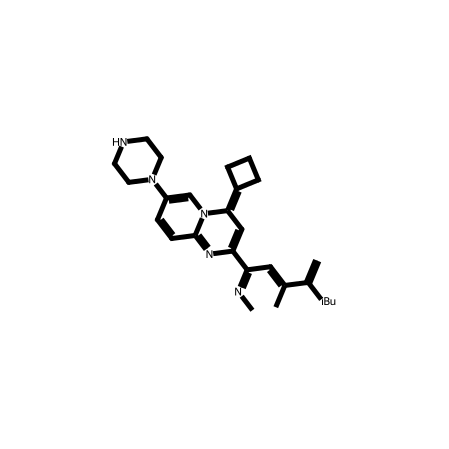 C=C(/C(C)=C/C(=N\C)C1=CC(=C2CCC2)N2C=C(N3CCNCC3)C=CC2=N1)C(C)CC